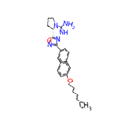 CCCCCCOc1ccc2cc(-c3noc([C@@H]4CCCN4C(=N)N)n3)ccc2c1